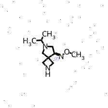 CO/N=C1\CN(C(C)C)CC12CNC2